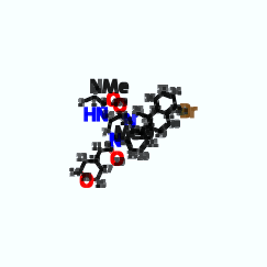 CN[C@@H](C)C(=O)N[C@H]1CN(C(=O)CC2CCOCC2)c2ccccc2N(Cc2c(OC)ccc3c(Br)cccc23)C1=O